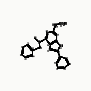 CCOC(=O)Nc1cc2[nH]c(-c3ccccc3)nc2c(N(C)Cc2ccccc2)n1